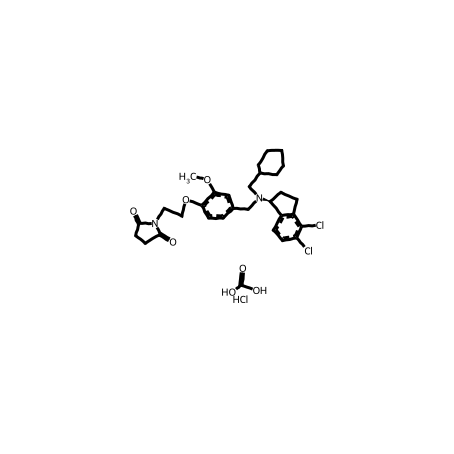 COc1cc(CN(CC2CCCCC2)[C@H]2CCc3c2ccc(Cl)c3Cl)ccc1OCCN1C(=O)CCC1=O.Cl.O=C(O)O